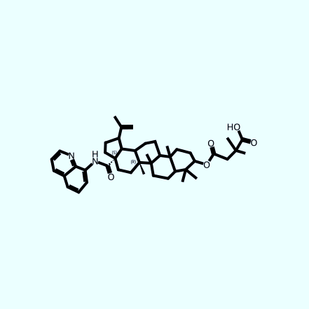 C=C(C)C1CC[C@]2(C(=O)Nc3cccc4cccnc34)CC[C@]3(C)C(CCC4C5(C)CCC(OC(=O)CC(C)(C)C(=O)O)C(C)(C)C5CCC43C)C12